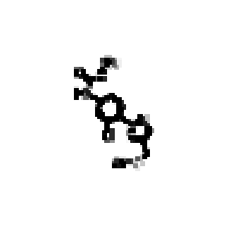 COCc1cnn(-c2ncc(NC(=O)OC(C)(C)C)cc2Cl)n1